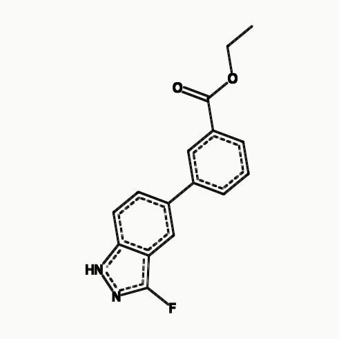 CCOC(=O)c1cccc(-c2ccc3[nH]nc(F)c3c2)c1